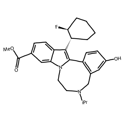 COC(=O)c1ccc2c([C@H]3CCCC[C@@H]3F)c3n(c2c1)CCN(C(C)C)Cc1cc(O)ccc1-3